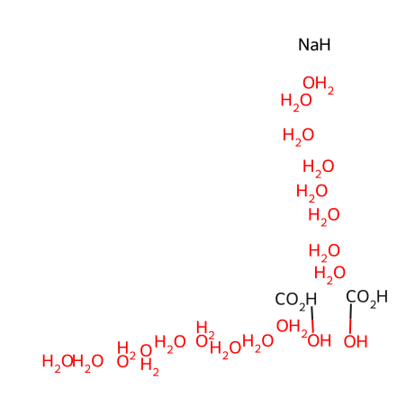 O.O.O.O.O.O.O.O.O.O.O.O.O.O.O.O.O.O=C(O)O.O=C(O)O.[NaH]